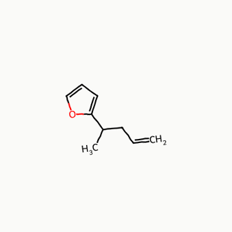 C=CCC(C)c1ccco1